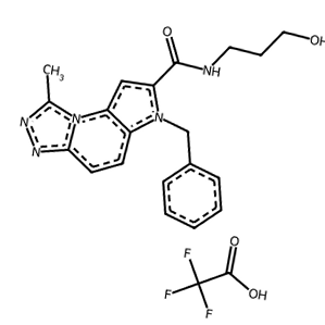 Cc1nnc2ccc3c(cc(C(=O)NCCCO)n3Cc3ccccc3)n12.O=C(O)C(F)(F)F